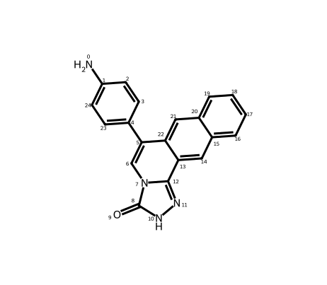 Nc1ccc(-c2cn3c(=O)[nH]nc3c3cc4ccccc4cc23)cc1